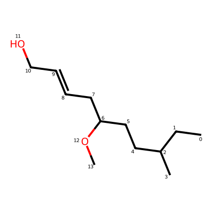 CCC(C)CCC(C/C=C/CO)OC